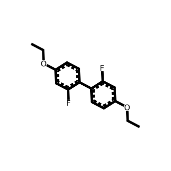 CCOc1ccc(-c2ccc(OCC)cc2F)c(F)c1